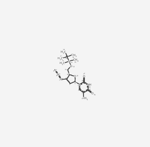 Cc1cn([C@H]2CC(N=[N+]=[N-])[C@@H](CO[Si](C)(C)C(C)(C)C)O2)c(=O)[nH]c1=O